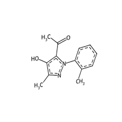 CC(=O)c1c(O)c(C)nn1-c1ccccc1C